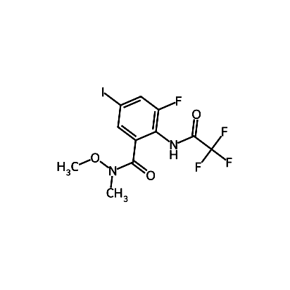 CON(C)C(=O)c1cc(I)cc(F)c1NC(=O)C(F)(F)F